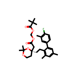 Cc1cc(C)c(CC[C@]2(CC(=O)OCOC(=O)C(C)(C)C)CCOC(C)(C)O2)c(-c2ccc(F)c(C)c2)c1